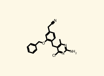 Cc1nc(N)nc(Cl)c1Cc1ccc(CC#N)cc1OCc1ccccc1